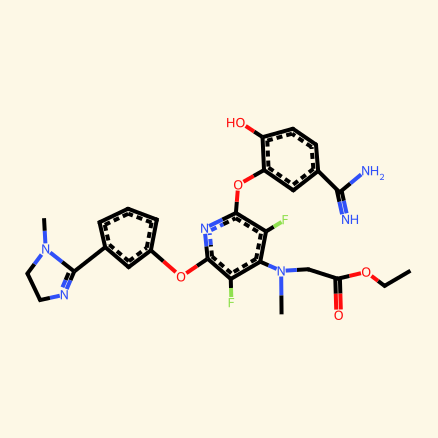 CCOC(=O)CN(C)c1c(F)c(Oc2cccc(C3=NCCN3C)c2)nc(Oc2cc(C(=N)N)ccc2O)c1F